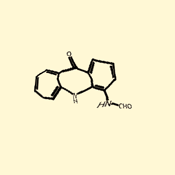 O=CNc1cccc2c(=O)c3ccccc3[nH]c12